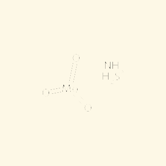 N.S.[O]=[Mo](=[O])=[O]